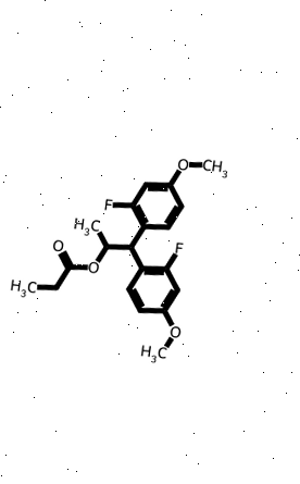 CCC(=O)OC(C)C(c1ccc(OC)cc1F)c1ccc(OC)cc1F